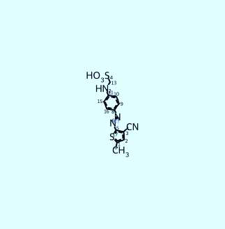 Cc1cc(C#N)c(/N=N/c2ccc(NCS(=O)(=O)O)cc2)s1